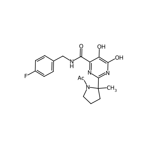 CC(=O)N1CCCC1(C)c1nc(O)c(O)c(C(=O)NCc2ccc(F)cc2)n1